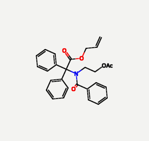 C=CCOC(=O)C(c1ccccc1)(c1ccccc1)N(CCOC(C)=O)C(=O)c1ccccc1